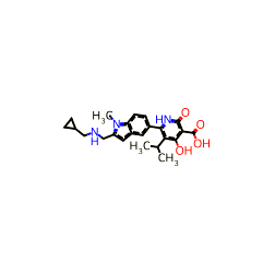 CC(C)c1c(-c2ccc3c(c2)cc(CNCC2CC2)n3C)[nH]c(=O)c(C(=O)O)c1O